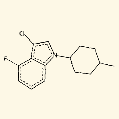 CC1CCC(n2cc(Cl)c3c(F)cccc32)CC1